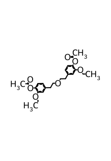 CCOc1cc(CCOCCc2ccc(OC(C)=O)c(OCC)c2)ccc1OC(C)=O